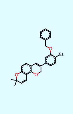 CCc1ccc(C2=Cc3ccc4c(c3OC2)C=CC(C)(C)O4)cc1OCc1ccccc1